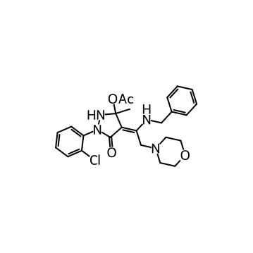 CC(=O)OC1(C)NN(c2ccccc2Cl)C(=O)C1=C(CN1CCOCC1)NCc1ccccc1